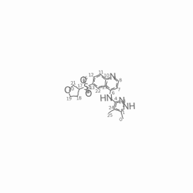 Cc1[nH]nc(Nc2ccnc3ccc(S(=O)(=O)C4CCOC4)cc23)c1C